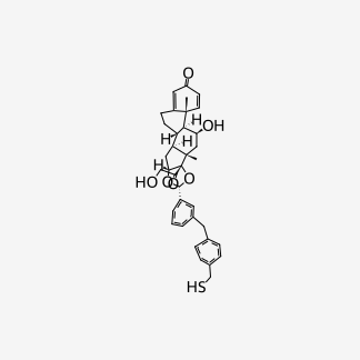 C[C@]12C=CC(=O)C=C1CC[C@@H]1[C@@H]2[C@@H](O)C[C@@]2(C)[C@H]1C[C@H]1O[C@@H](c3cccc(Cc4ccc(CS)cc4)c3)O[C@]12C(=O)CO